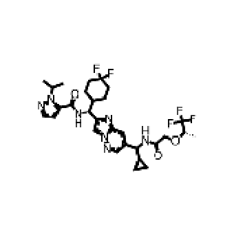 CC(C)n1nccc1C(=O)N[C@H](c1cn2ncc(C(NC(=O)CO[C@@H](C)C(F)(F)F)C3CC3)cc2n1)C1CCC(F)(F)CC1